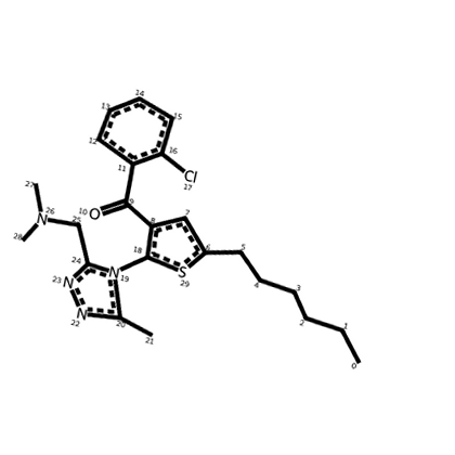 CCCCCCc1cc(C(=O)c2ccccc2Cl)c(-n2c(C)nnc2CN(C)C)s1